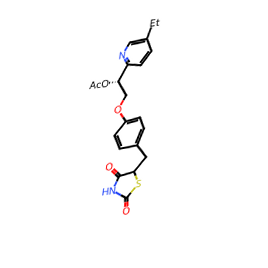 CCc1ccc([C@H](COc2ccc(CC3SC(=O)NC3=O)cc2)OC(C)=O)nc1